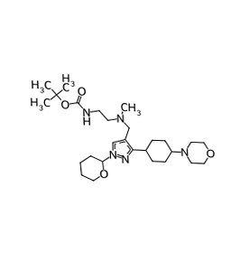 CN(CCNC(=O)OC(C)(C)C)Cc1cn(C2CCCCO2)nc1C1CCC(N2CCOCC2)CC1